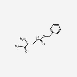 NC(=O)[C@@H](N)CNC(=O)OCc1ccccc1